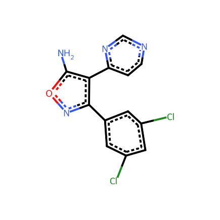 Nc1onc(-c2cc(Cl)cc(Cl)c2)c1-c1ccncn1